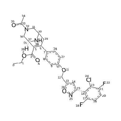 CCOC(=O)C1=C(c2ccc(OCc3cc(-c4c(F)ccc(F)c4Cl)no3)cc2)CC2CN(C(C)=O)C[C@H]1N2